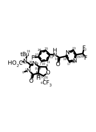 CN1C(=O)[C@@H]2[C@@H](C(F)(F)F)OC[C@]2(c2cc(NC(=O)c3cnc(C(F)F)cn3)ccc2F)N=C1N(C(=O)O)C(C)(C)C